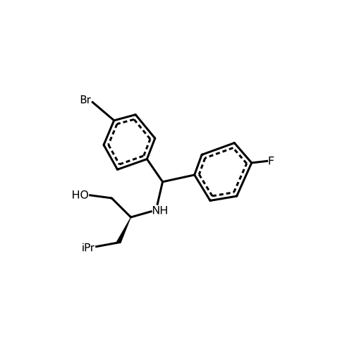 CC(C)C[C@@H](CO)NC(c1ccc(F)cc1)c1ccc(Br)cc1